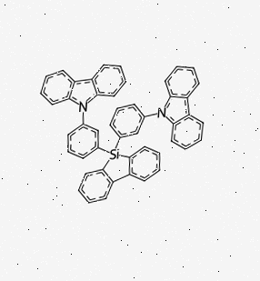 c1cc(-n2c3ccccc3c3ccccc32)cc([Si]2(c3cccc(-n4c5ccccc5c5ccccc54)c3)c3ccccc3-c3ccccc32)c1